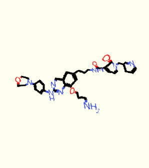 NCCCOc1cc(C=CCNC(=O)c2cccn(Cc3cccnc3)c2=O)cc2cnc(Nc3ccc(N4CCOCC4)cc3)nc12